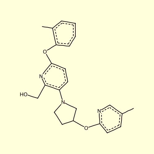 Cc1ccc(OC2CCN(c3ccc(Oc4ccccc4C)nc3CO)C2)nc1